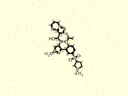 CN1CCC(S(=O)(=O)c2ccc(OC(F)F)c(-c3nn(C)cc3NC(O)c3cnn4cccnc34)c2)C1